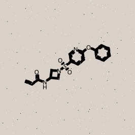 C=CC(=O)NC1CN(S(=O)(=O)c2ccc(Oc3ccccc3)nc2)C1